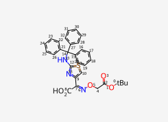 CC(C)(C)OC(=O)CO/N=C(/C(=O)O)c1csc(NC(c2ccccc2)(c2ccccc2)c2ccccc2)n1